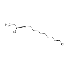 C=CC(O)C#CCCCCCCCCCCl